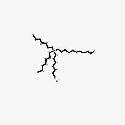 CCCCCCCCCCC[P+](CCCCCCC)(CCCCCCC)CCCCCCC.[I-]